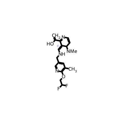 C=C(O)C1=NC=CC(NC)/C1=C\NCc1cnc(OCC(F)F)c(C)c1